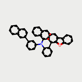 c1cc(-c2ccc3ccccc3c2)cc(N(c2ccccc2-c2cccc3c2oc2ccccc23)c2cccc3ccccc23)c1